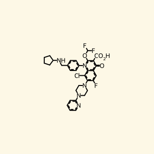 O=C(O)c1c(OC(F)F)n(-c2ccc(CNC3CCCC3)cc2)c2c(Cl)c(N3CCN(c4ccccn4)CC3)c(F)cc2c1=O